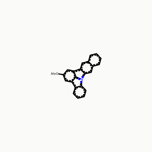 COc1cc2c3ccccc3n3c4cc5ccccc5cc4c(c1)c23